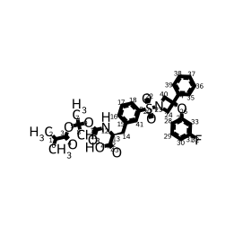 CC(C)C(=O)OC(C)(C)OC(=O)N[C@@H](Cc1cccc(S(=O)(=O)N2CC(Oc3cccc(F)c3)(c3ccccc3)C2)c1)C(=O)O